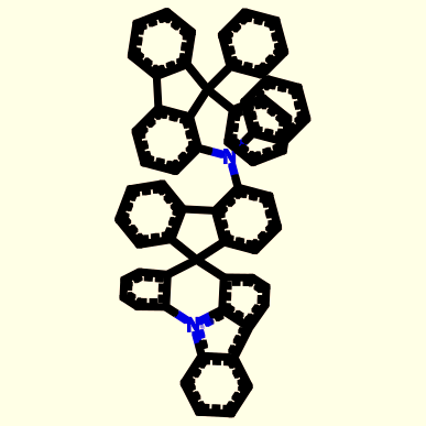 c1ccc(N(c2cccc3c2-c2ccccc2C32c3ccccc3-n3c4ccccc4c4cccc2c43)c2cccc3c2C(c2ccccc2)(c2ccccc2)c2ccccc2-3)cc1